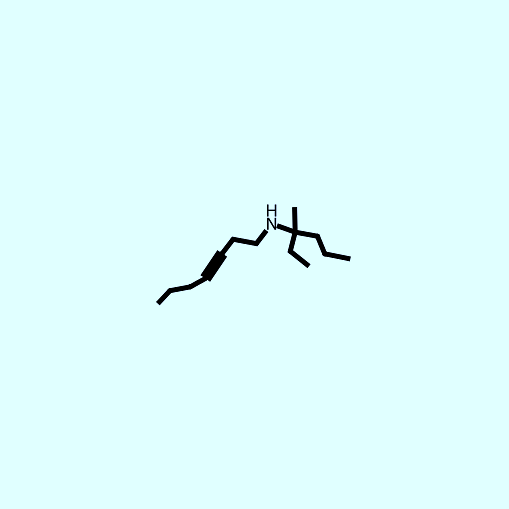 CCCC#CCCNC(C)(CC)CCC